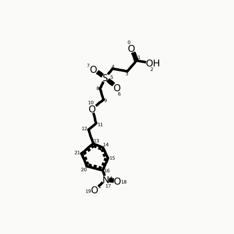 O=C(O)CCS(=O)(=O)CCOCCc1ccc([N+](=O)[O-])cc1